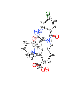 Cc1cc(CN2C(=O)c3ccc(Cl)cc3NC(=O)[C@H]2Cc2ccccn2)ccc1C(=O)O